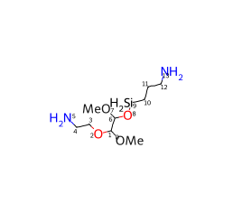 COC(OCCN)C(OC)O[SiH2]CCCN